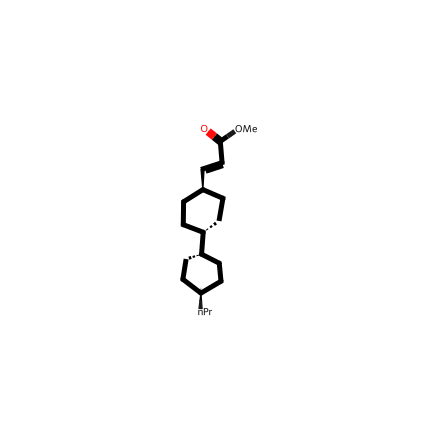 CCC[C@H]1CC[C@H]([C@H]2CC[C@H](C=CC(=O)OC)CC2)CC1